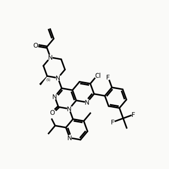 C=CC(=O)N1CCN(c2nc(=O)n(-c3c(C)ccnc3C(C)C)c3nc(-c4cc(C(C)(F)F)ccc4F)c(Cl)cc23)[C@@H](C)C1